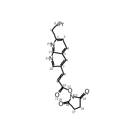 CC(C)Cc1ccc2cc(/C=C/C(=O)ON3C(=O)CCC3=O)cnc2n1